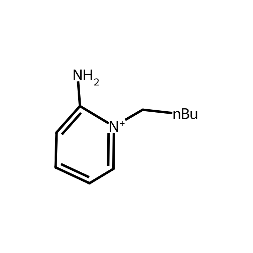 CCCCC[n+]1ccccc1N